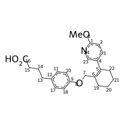 COc1ccc(C2=C(COc3ccc(CCCC(=O)O)cc3)CCCC2)cn1